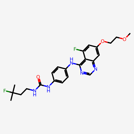 COCCOc1cc(F)c2c(Nc3ccc(NC(=O)NCCC(C)(C)F)cc3)ncnc2c1